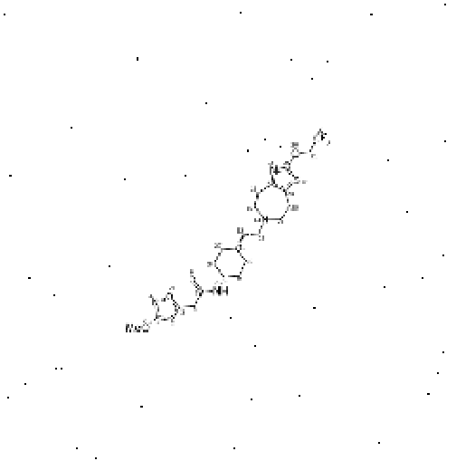 COc1cc(CC(=O)N[C@H]2CC[C@H](CCN3CCc4nc(OCC(F)(F)F)sc4CC3)CC2)on1